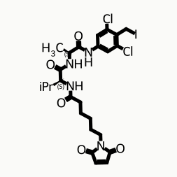 CC(C)[C@H](NC(=O)CCCCCN1C(=O)C=CC1=O)C(=O)N[C@@H](C)C(=O)Nc1cc(Cl)c(CI)c(Cl)c1